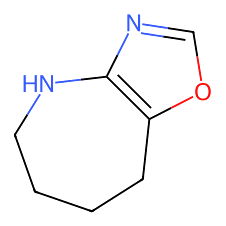 c1nc2c(o1)CCCCN2